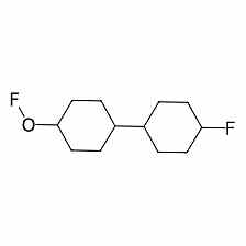 FOC1CCC(C2CCC(F)CC2)CC1